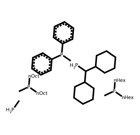 CCCCCCCCP(C)CCCCCCCC.CCCCCCP(C)CCCCCC.CP.CP(c1ccccc1)c1ccccc1.PC(C1CCCCC1)C1CCCCC1